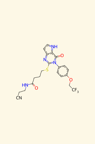 N#CCCNC(=O)CCCSc1nc2cc[nH]c2c(=O)n1-c1ccc(OCC(F)(F)F)cc1